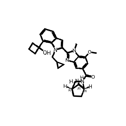 COc1cc(C(=O)N2C[C@H]3CC[C@@H]2[C@@H]3N)cc2nc(-c3cc4cccc(C5(O)CCC5)c4n3CC3CC3)n(C)c12